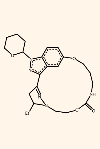 CCC1CC2=NN1CCOC(=O)NCCCOc1ccc3c(c1)c2nn3C1CCCCO1